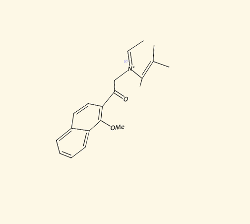 C/C=[N+](/CC(=O)c1ccc2ccccc2c1OC)C(C)=C(C)C